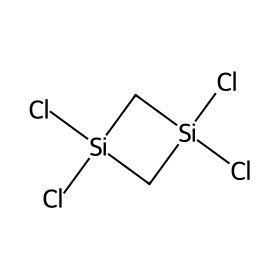 Cl[Si]1(Cl)C[Si](Cl)(Cl)C1